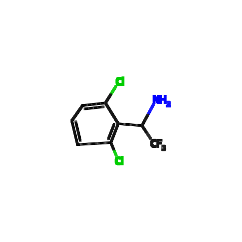 NC(c1c(Cl)cccc1Cl)C(F)(F)F